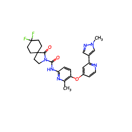 Cc1nc(NC(=O)N2CCC3(CCC(F)(F)CC3)C2=O)ccc1Oc1ccnc(-c2cnn(C)c2)c1